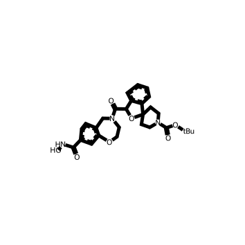 CC(C)(C)OC(=O)N1CCC2(CC1)OC(C(=O)N1CCOc3cc(C(=O)NO)ccc3C1)c1ccccc12